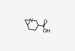 O=C(O)C1CCC2CN2C1